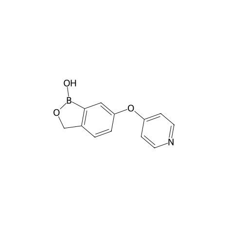 OB1OCc2ccc(Oc3ccncc3)cc21